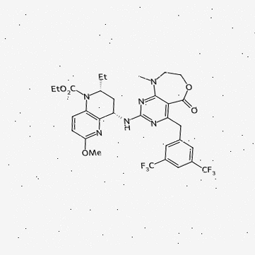 CCOC(=O)N1c2ccc(OC)nc2[C@@H](Nc2nc(Cc3cc(C(F)(F)F)cc(C(F)(F)F)c3)c3c(n2)N(C)CCOC3=O)C[C@H]1CC